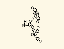 COc1ccc(CN(Cc2ccc(OC)cc2)C(=O)OCCOCOc2cc(CNN(C)C)cc(OCOCOC(=O)N(Cc3ccc(OC)cc3)Cc3ccc(OC)cc3)c2)cc1